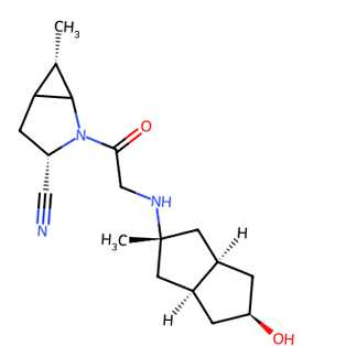 C[C@H]1C2C[C@@H](C#N)N(C(=O)CN[C@]3(C)C[C@H]4C[C@@H](O)C[C@H]4C3)C21